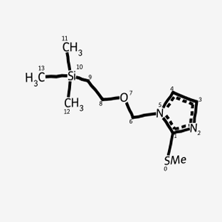 CSc1nccn1COCC[Si](C)(C)C